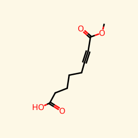 COC(=O)C#CCCCCC(=O)O